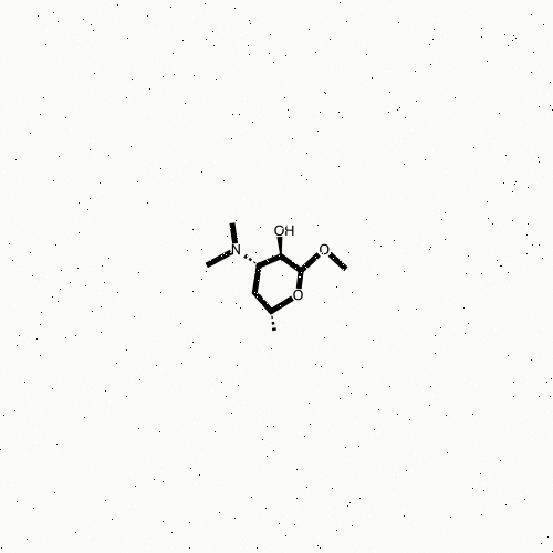 COC1O[C@H](C)C[C@H](N(C)C)[C@H]1O